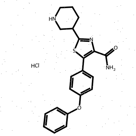 Cl.NC(=O)c1nc(C2CCCNC2)sc1-c1ccc(Oc2ccccc2)cc1